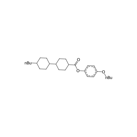 CCCCOc1ccc(OC(=O)C2CCC(C3CCC(CCCC)CC3)CC2)cc1